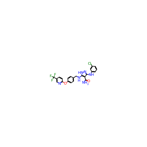 NC(=O)c1c(Nc2cccc(Cl)c2)n[nH]c1NCc1ccc(Oc2ccc(C(F)(F)F)cn2)cc1